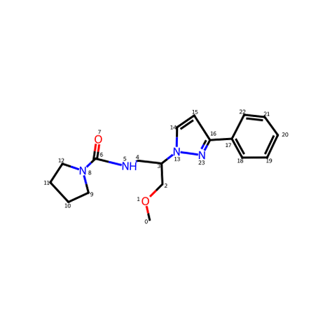 COCC(CNC(=O)N1CCCC1)n1ccc(-c2ccccc2)n1